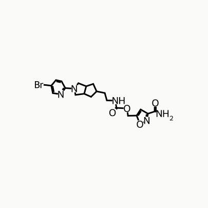 NC(=O)c1cc(COC(=O)NCCC2CC3CN(c4ccc(Br)cn4)CC3C2)on1